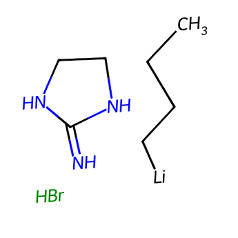 Br.N=C1NCCN1.[Li][CH2]CCC